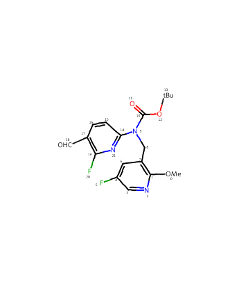 COc1ncc(F)cc1CN(C(=O)OC(C)(C)C)c1ccc(C=O)c(F)n1